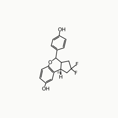 Oc1ccc(C2Oc3ccc(O)cc3[C@H]3CC(F)(F)CC23)cc1